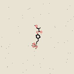 COC=C(C)C(=O)Oc1ccc(CCC[Si](OC)(OC)OC)cc1